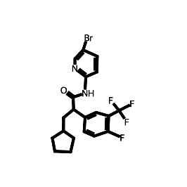 O=C(Nc1ccc(Br)cn1)C(CC1CCCC1)c1ccc(F)c(C(F)(F)F)c1